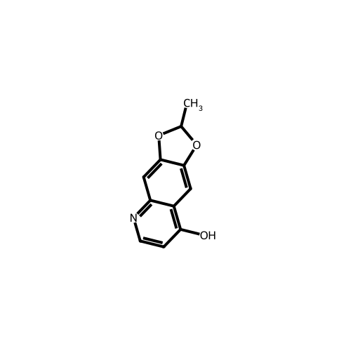 CC1Oc2cc3nccc(O)c3cc2O1